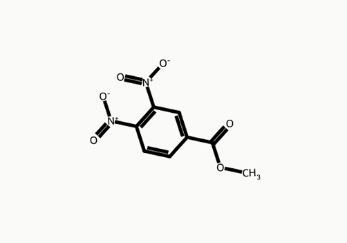 COC(=O)c1ccc([N+](=O)[O-])c([N+](=O)[O-])c1